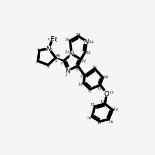 CCN1CCC[C@@H]1c1nc(-c2ccc(Oc3ccccc3)cc2)c2cnccn12